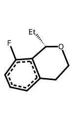 CC[C@@H]1OCCc2cccc(F)c21